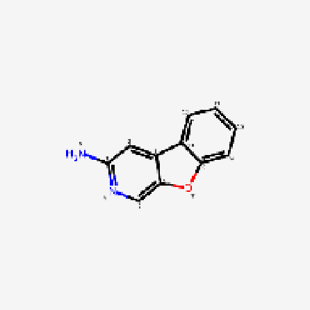 Nc1cc2c(cn1)oc1ccccc12